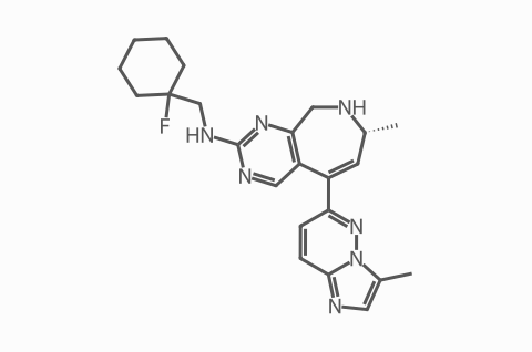 Cc1cnc2ccc(C3=C[C@@H](C)NCc4nc(NCC5(F)CCCCC5)ncc43)nn12